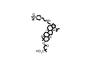 C=C(C)[C@@H]1CC[C@]2(CCNCCN3CCN(S(C)(=O)=O)CC3)CC[C@]3(C)[C@H](CC[C@@H]4[C@@]5(C)CC[C@H](OC(=O)CC(C)(C)C(=O)O)C(C)(C)[C@@H]5CC[C@]43C)[C@@H]12